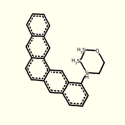 c1ccc2cc3c(ccc4cc5cccc([SiH]6CCO[SiH2][SiH2]6)c5cc43)cc2c1